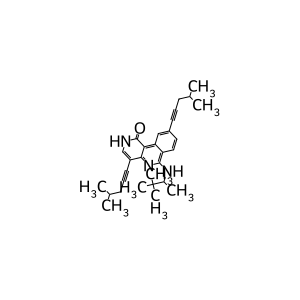 CC(C)CC#Cc1ccc2c(NC(C)C(C)(C)C)nc3c(C#CCC(C)C)c[nH]c(=O)c3c2c1